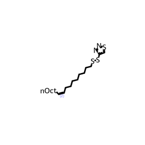 CCCCCCCC/C=C\CCCCCCCCSSc1csnn1